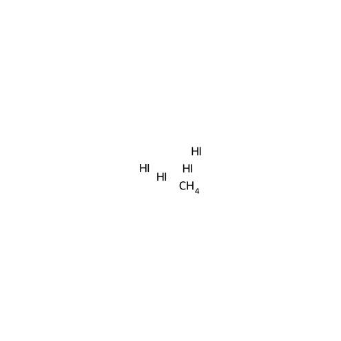 C.I.I.I.I